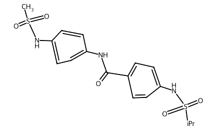 CC(C)S(=O)(=O)Nc1ccc(C(=O)Nc2ccc(NS(C)(=O)=O)cc2)cc1